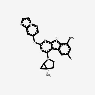 CNc1cc(F)cc2c1[nH]c1nc(Oc3cnn4ccnc4c3)nc(N3CC[C@@]4(N)CC34)c12